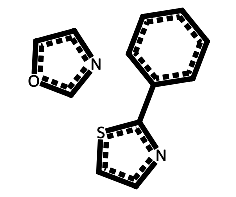 c1ccc(-c2nccs2)cc1.c1cocn1